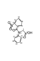 O=C(O)CN(C(=O)c1ccccc1[N+](=O)[O-])c1ccccc1